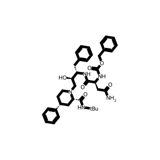 CC(C)(C)NC(=O)[C@@H]1C[C@H](c2ccccc2)CCN1C[C@@H](O)[C@H](Cc1ccccc1)NC(=O)[C@H](CC(N)=O)NC(=O)OCc1ccccc1